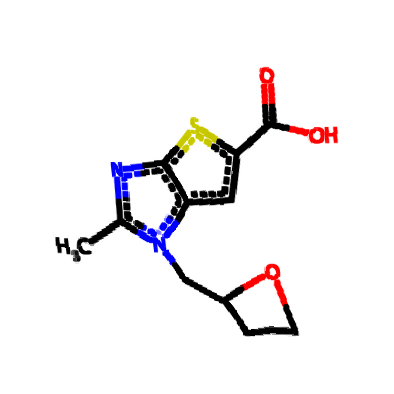 Cc1nc2sc(C(=O)O)cc2n1CC1CCO1